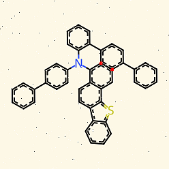 c1ccc(-c2ccc(-c3ccccc3N(c3ccc(-c4ccccc4)cc3)c3cccc4c3ccc3c5ccccc5sc43)cc2)cc1